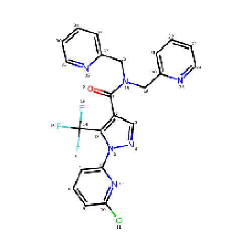 O=C(c1cnn(-c2cccc(Cl)n2)c1C(F)(F)F)N(Cc1ccccn1)Cc1ccccn1